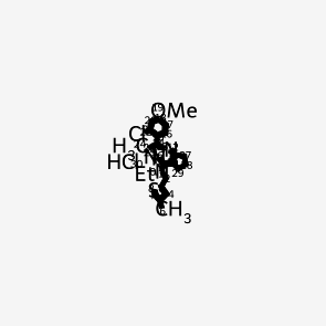 CCN(Cc1cc(C)cs1)c1c2c(nc3c(-c4ccc(OC)cc4Cl)c(C)nn13)CCC2.Cl